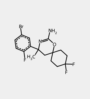 CC1(c2cc(Br)ccc2F)CC2(CCC(F)(F)CC2)OC(N)=N1